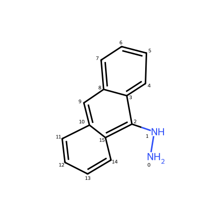 NNc1c2ccccc2cc2ccccc12